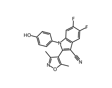 Cc1noc(C)c1-c1c(C#N)c2cc(F)c(F)cc2n1-c1ccc(O)cc1